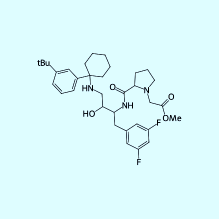 COC(=O)CN1CCCC1C(=O)NC(Cc1cc(F)cc(F)c1)C(O)CNC1(c2cccc(C(C)(C)C)c2)CCCCC1